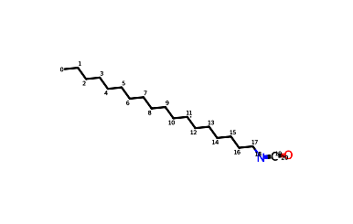 CCCCCCCCCCC[CH]CCCCCCN=C=O